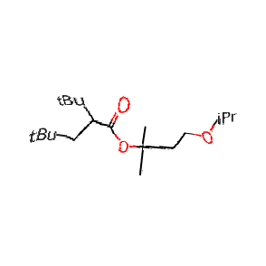 CC(C)OCCC(C)(C)OC(=O)C(CC(C)(C)C)C(C)(C)C